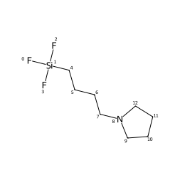 F[Si](F)(F)CCCCN1CCCC1